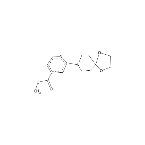 COC(=O)c1ccnc(N2CCC3(CC2)OCCO3)c1